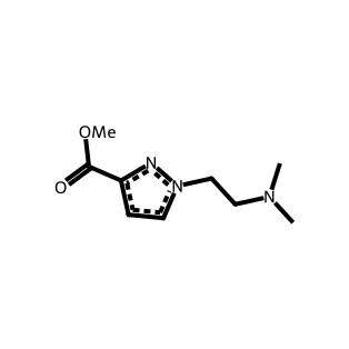 COC(=O)c1ccn(CCN(C)C)n1